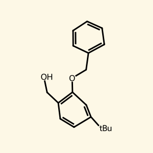 CC(C)(C)c1ccc(CO)c(OCc2ccccc2)c1